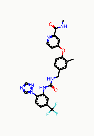 CNC(=O)c1cc(Oc2ccc(CNC(=O)Nc3cc(C(F)(F)F)ccc3-n3cncn3)cc2C)ccn1